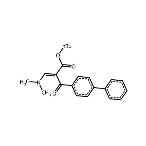 CN(C)/C=C(/C(=O)OC(C)(C)C)C(=O)c1ccc(-c2ccccc2)cc1